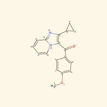 COc1ccc(C(=O)c2c(C3CC3)nc3ccccn23)cc1